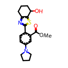 COC(=O)c1cc(N2CCCC2)ccc1-c1nc2c(s1)C(O)CCC2